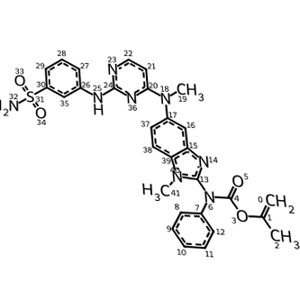 C=C(C)OC(=O)N(c1ccccc1)c1nc2cc(N(C)c3ccnc(Nc4cccc(S(N)(=O)=O)c4)n3)ccc2n1C